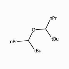 CCCC(OC(CCC)C(C)(C)C)C(C)(C)C